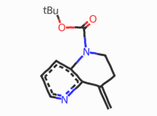 C=C1CCN(C(=O)OC(C)(C)C)c2cccnc21